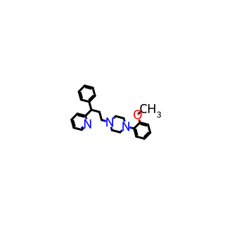 COc1ccccc1N1CCN(CCC(c2ccccc2)c2ccccn2)CC1